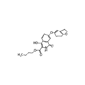 CCCCOC(=O)c1[nH]c(=O)c2cc(Oc3ccc4c(c3)CCO4)ccc2c1O